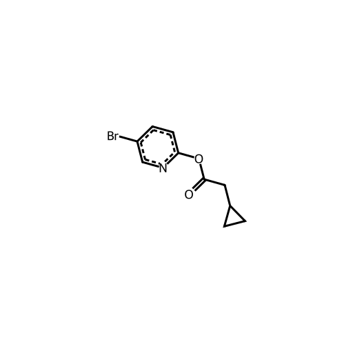 O=C(CC1CC1)Oc1ccc(Br)cn1